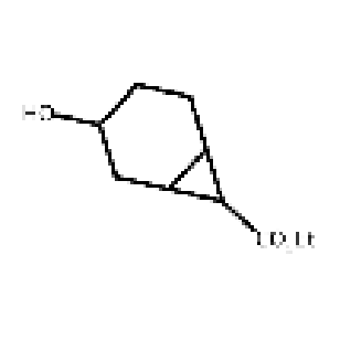 CCOC(=O)C1C2CCC(O)CC21